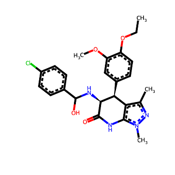 CCOc1ccc([C@H]2c3c(C)nn(C)c3NC(=O)[C@H]2NC(O)c2ccc(Cl)cc2)cc1OC